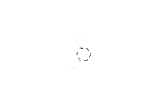 CCc1cccc(CC[O])c1